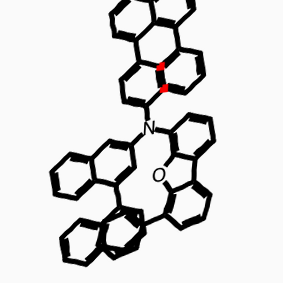 c1ccc(-c2cccc3c2oc2c(N(c4ccc(-c5cccc6cccc(-c7ccccc7)c56)cc4)c4cc(-c5cccc6ccccc56)c5ccccc5c4)cccc23)cc1